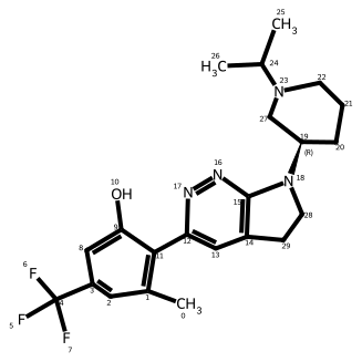 Cc1cc(C(F)(F)F)cc(O)c1-c1cc2c(nn1)N([C@@H]1CCCN(C(C)C)C1)CC2